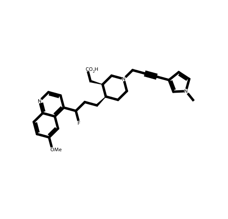 COc1ccc2nccc(C(F)CC[C@@H]3CCN(CC#Cc4ccn(C)c4)C[C@@H]3CC(=O)O)c2c1